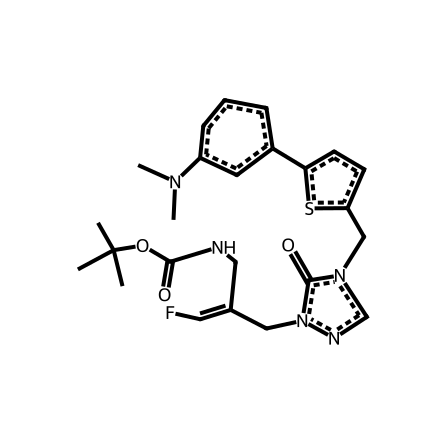 CN(C)c1cccc(-c2ccc(Cn3cnn(C/C(=C/F)CNC(=O)OC(C)(C)C)c3=O)s2)c1